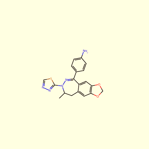 CC1Cc2cc3c(cc2C(c2ccc(N)cc2)=NN1c1nncs1)OCO3